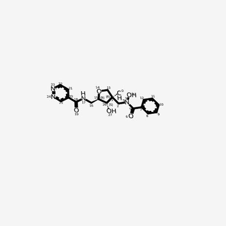 C[C@@]1(CN(O)C(=O)c2ccccc2)CO[C@H](CNC(=O)c2ccnnc2)[C@H]1O